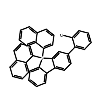 Clc1ccccc1-c1ccc2c(c1)S(c1cccc3ccccc13)(c1cccc3ccccc13)c1ccccc1-2